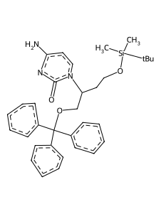 CC(C)(C)[Si](C)(C)OCCC(COC(c1ccccc1)(c1ccccc1)c1ccccc1)n1ccc(N)nc1=O